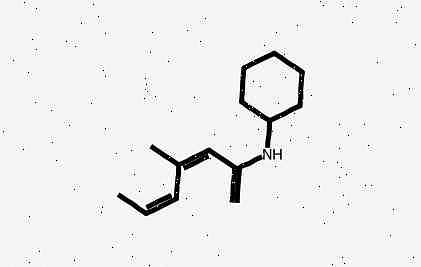 C=C(/C=C(C)\C=C/C)NC1CCCCC1